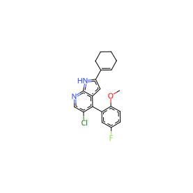 COc1ccc(F)cc1-c1c(Cl)cnc2[nH]c(C3=CCCCC3)cc12